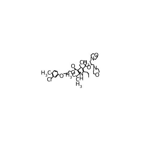 CCC1C(C(=O)OC(CN2CCOCC2)CN2CCOCC2)=C(CI)NC(C(C)C)=C1C(=O)OCCCOc1ccc(C)c(Cl)c1